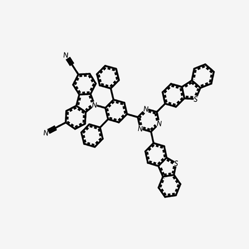 N#Cc1ccc2c(c1)c1cc(C#N)ccc1n2-c1c(-c2ccccc2)cc(-c2nc(-c3ccc4c(c3)sc3ccccc34)nc(-c3ccc4c(c3)sc3ccccc34)n2)cc1-c1ccccc1